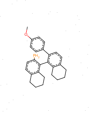 COc1ccc(-c2ccc3c(c2-c2c(P)ccc4c2CCCC4)CCCC3)cc1